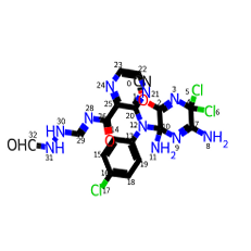 N#COC1=NC(Cl)(Cl)C(N)=NC1(N)N(c1ccc(Cl)cc1)c1nccnc1C(=O)N=CNNC=O